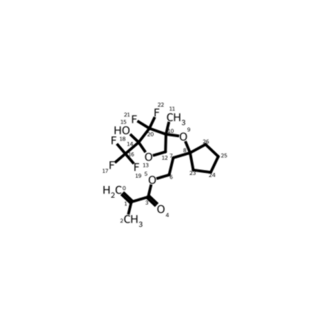 C=C(C)C(=O)OCCC1(OC2(C)COC(O)(C(F)(F)F)C2(F)F)CCCC1